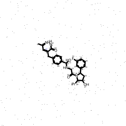 CC(=N)/C=C(/Cc1ccc(C(O)NCC(=O)N2C(c3cccc(F)c3)CC(O)C2C(C)C)cc1)C(N)=O